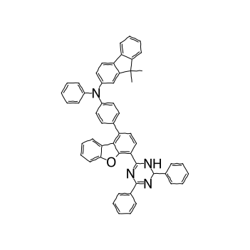 CC1(C)c2ccccc2-c2ccc(N(c3ccccc3)c3ccc(-c4ccc(C5=NC(c6ccccc6)=NC(c6ccccc6)N5)c5oc6ccccc6c45)cc3)cc21